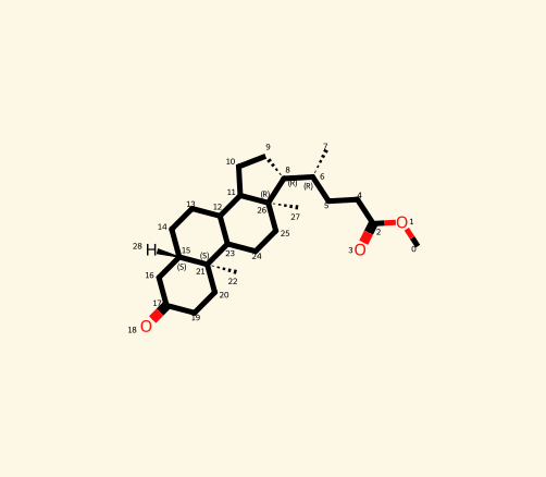 COC(=O)CC[C@@H](C)[C@H]1CCC2C3CC[C@H]4CC(=O)CC[C@]4(C)C3CC[C@@]21C